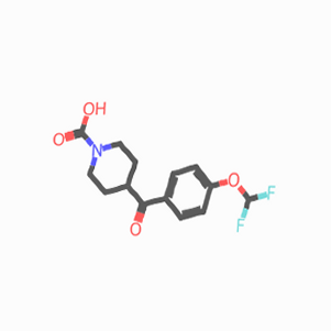 O=C(c1ccc(OC(F)F)cc1)C1CCN(C(=O)O)CC1